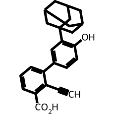 C#Cc1c(C(=O)O)cccc1-c1ccc(O)c(C23CC4CC(CC(C4)C2)C3)c1